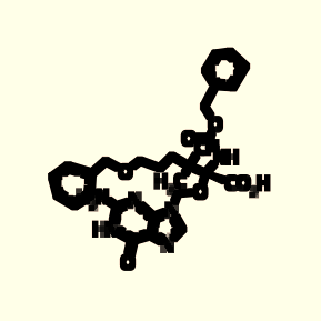 CC(C)(CCCOCc1ccccc1)[C@](NC(=O)OCc1ccccc1)(OCn1cnc2c(=O)[nH]c(N)nc21)C(=O)O